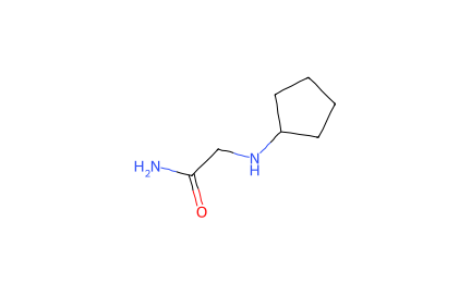 NC(=O)CNC1CCCC1